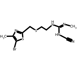 C/N=C(\NC#N)NCCSCc1nc(C)c(Br)s1